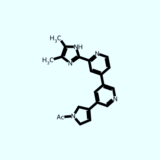 CC(=O)N1CC=C(c2cncc(-c3ccnc(-c4nc(C)c(C)[nH]4)c3)c2)C1